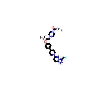 CC(=O)N1CCN(C[C@H](C)Oc2ccc(C3CCN(c4ccc5nnc(CF)n5n4)CC3)cc2)CC1